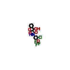 O=C(Nc1ccc(OC(F)(F)F)c(Cl)c1)c1c(O)c2ccccc2oc1=O